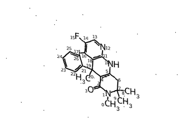 CN1C(=O)C2=C(CC1(C)C)Nc1ncc(F)c(I)c1C2(C)c1ccccc1